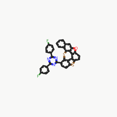 Fc1ccc(-c2nc(-c3ccc(F)cc3)nc(-c3ccc4sc5ccc6oc7cc8ccccc8c8sc3c4c5c6c78)n2)cc1